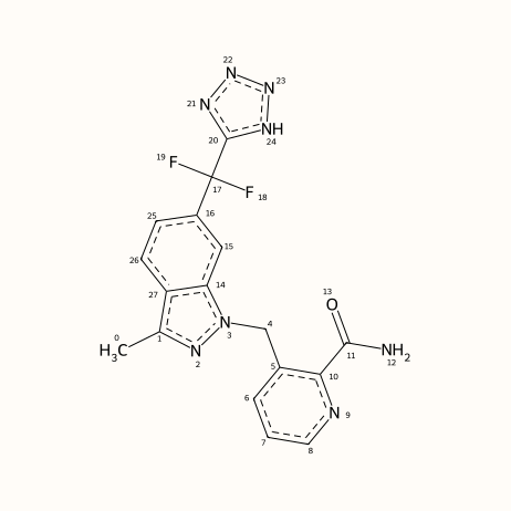 Cc1nn(Cc2cccnc2C(N)=O)c2cc(C(F)(F)c3nnn[nH]3)ccc12